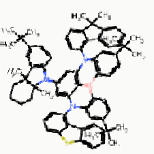 CC(C)(C)c1ccc2c(c1)N(c1cccc3c1-c1ccccc1C3(C)C)c1cc(N3c4ccc(C(C)(C)C)cc4C4(C)CCCCC34C)cc3c1B2c1ccc(C(C)(C)C)cc1N3c1cccc2sc3ccccc3c12